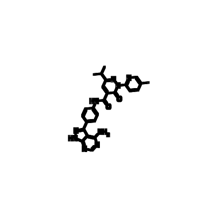 Cc1ccc(-n2nc(C(C)C)cc(C(=O)Nc3ccc(-c4n[nH]c5ncnc(N)c45)cc3)c2=O)nc1